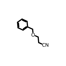 N#CCCOCc1ccccc1